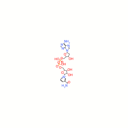 NC(=O)c1ccc[n+](C2OC(COP(=O)(O)OP(=O)(O)OCC3OC(n4cnc5c(N)ncnc54)CC3O)C(O)C2O)c1